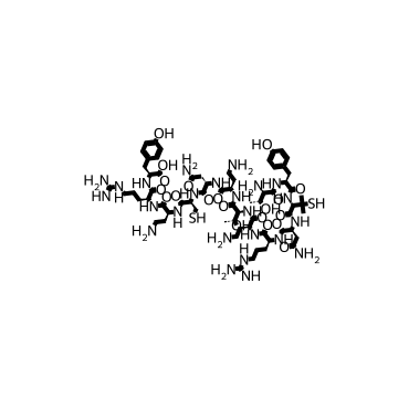 C[C@@H](O)[C@H](N)C(=O)N[C@@H](Cc1ccc(O)cc1)C(=O)N[C@H](C(=O)N[C@@H](CC(N)=O)C(=O)N[C@@H](CCCNC(=N)N)C(=O)N[C@@H](CCN)C(=O)N[C@H](C(=O)N[C@H](CCN)C(=O)N[C@@H](CC(N)=O)C(=O)N[C@@H](CS)C(=O)N[C@@H](CCN)C(=O)N[C@@H](CCCNC(=N)N)C(=O)N[C@@H](Cc1ccc(O)cc1)C(=O)O)[C@@H](C)O)C(C)(C)S